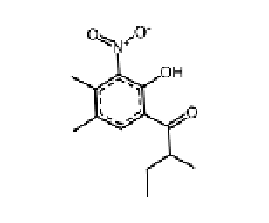 CCC(C)C(=O)c1cc(C)c(C)c([N+](=O)[O-])c1O